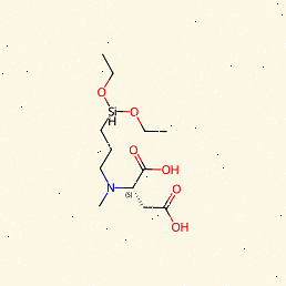 CCO[SiH](CCCN(C)[C@@H](CC(=O)O)C(=O)O)OCC